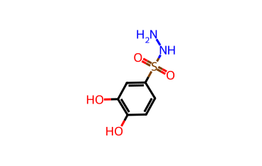 NNS(=O)(=O)c1ccc(O)c(O)c1